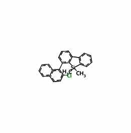 C[Si]1(C)c2ccccc2-c2cccc(-c3c(Cl)ccc4ccccc34)c21